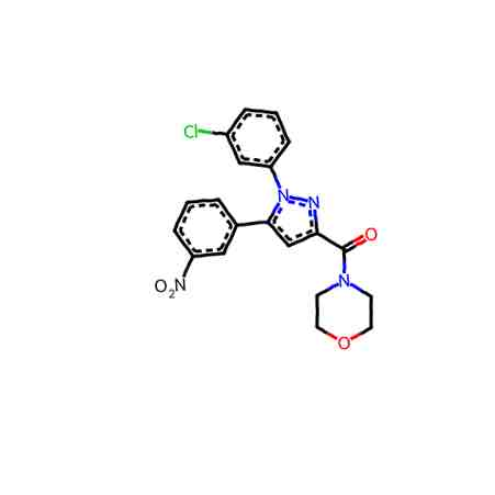 O=C(c1cc(-c2cccc([N+](=O)[O-])c2)n(-c2cccc(Cl)c2)n1)N1CCOCC1